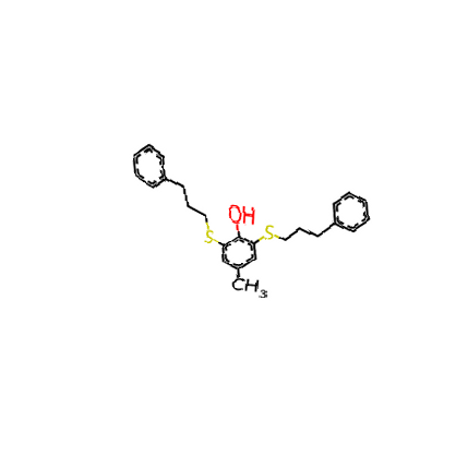 Cc1cc(SCCCc2ccccc2)c(O)c(SCCCc2ccccc2)c1